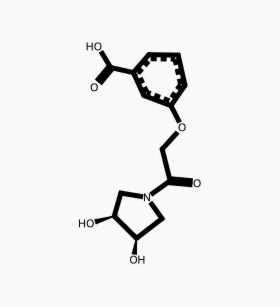 O=C(O)c1cccc(OCC(=O)N2C[C@@H](O)[C@@H](O)C2)c1